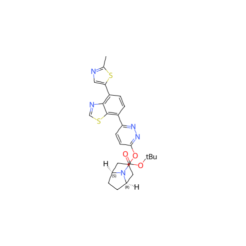 Cc1ncc(-c2ccc(-c3ccc(OC4C[C@H]5CC[C@@H](C4)N5C(=O)OC(C)(C)C)nn3)c3scnc23)s1